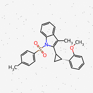 COc1ccccc1[C@@H]1CC1c1c(C)c2ccccc2n1S(=O)(=O)c1ccc(C)cc1